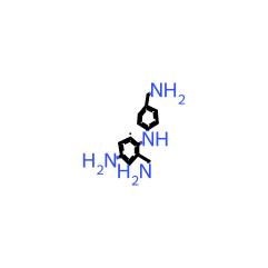 NCc1ccc(Nc2[c]cc(N)cc2CN)cc1